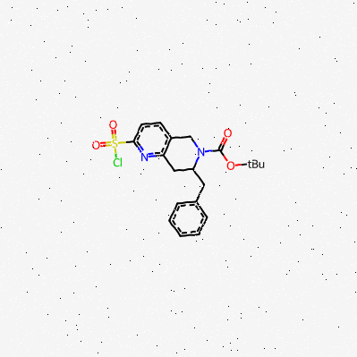 CC(C)(C)OC(=O)N1Cc2ccc(S(=O)(=O)Cl)nc2CC1Cc1ccccc1